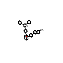 N#Cc1ccc2cc(-c3ccc(C45CC6CC(C4)CC(c4ccc(-c7nc(-c8ccccc8)nc(-c8ccccc8)n7)cc4)(C6)C5)cc3)ccc2c1